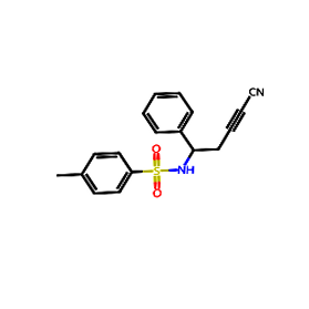 Cc1ccc(S(=O)(=O)NC(CC#CC#N)c2ccccc2)cc1